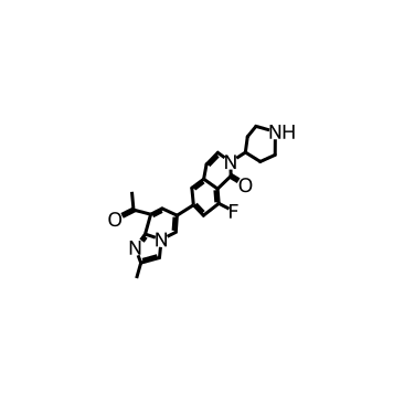 CC(=O)c1cc(-c2cc(F)c3c(=O)n(C4CCNCC4)ccc3c2)cn2cc(C)nc12